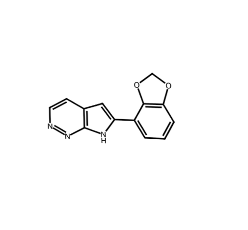 c1cc2c(c(-c3cc4ccnnc4[nH]3)c1)OCO2